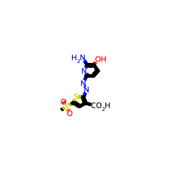 CS(=O)(=O)c1cc(C(=O)O)c(/N=N/c2ccc(O)c(N)n2)s1